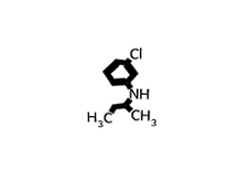 CCC(C)Nc1cccc(Cl)c1